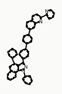 c1ccc(-c2cc3ccccc3c3c2c(-c2ccc(-c4ccc(-c5ccc6ccc(-c7ccccn7)nc6c5)cc4)cc2)nn3-c2ccccc2)cc1